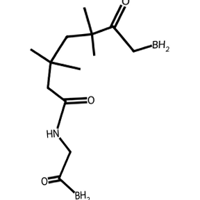 BCC(=O)C(C)(C)CC(C)(C)CC(=O)NCC(B)=O